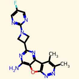 Cc1nnc2oc3c(N)nc(C4CN(c5ncc(F)cn5)C4)nc3c2c1C